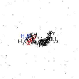 C=C(C)C(=O)OCC(CCC[C@H]1CC[C@@]2(C)[C@@H](CC[C@@H]3[C@@H]2CC[C@]2(C)C([C@H](C)CCCC(C)C)CC[C@@H]32)C1)COC(=O)C(=C)CN